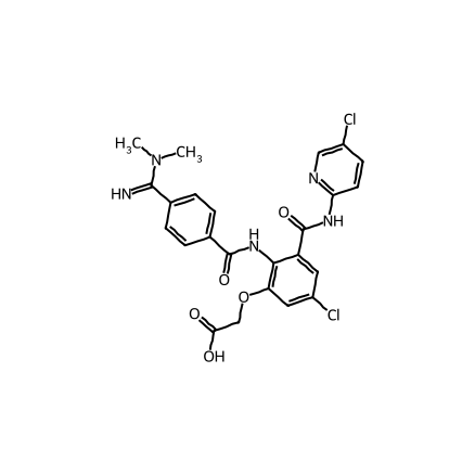 CN(C)C(=N)c1ccc(C(=O)Nc2c(OCC(=O)O)cc(Cl)cc2C(=O)Nc2ccc(Cl)cn2)cc1